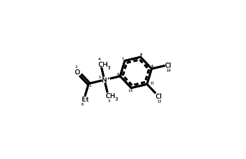 CCC(=O)[N+](C)(C)c1ccc(Cl)c(Cl)c1